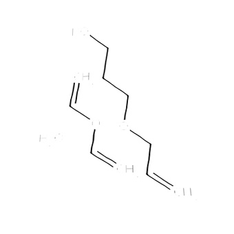 C=CCOCCCO.C=COC=C.O